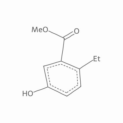 CCc1ccc(O)cc1C(=O)OC